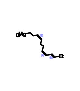 CC/C=C/C=C\CC/C=C\C[CH2][Mg][Cl]